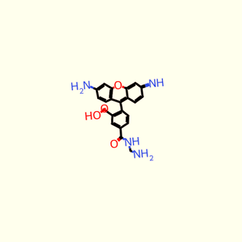 N=c1ccc2c(-c3ccc(C(=O)NCN)cc3C(=O)O)c3ccc(N)cc3oc-2c1